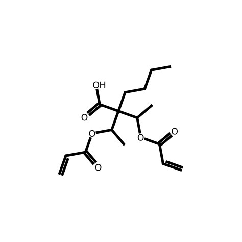 C=CC(=O)OC(C)C(CCCC)(C(=O)O)C(C)OC(=O)C=C